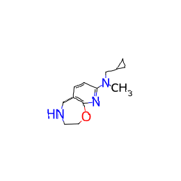 CN(CC1CC1)c1ccc2c(n1)OCCNC2